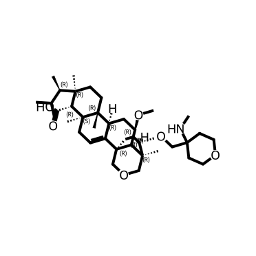 CNC1(CO[C@H]2[C@H](OC)C[C@@]34COC[C@@]2(C)[C@@H]3CC[C@H]2C4=CC[C@@]3(C)[C@H](C(=O)O)[C@@](C)([C@H](C)C(C)C)CC[C@]23C)CCOCC1